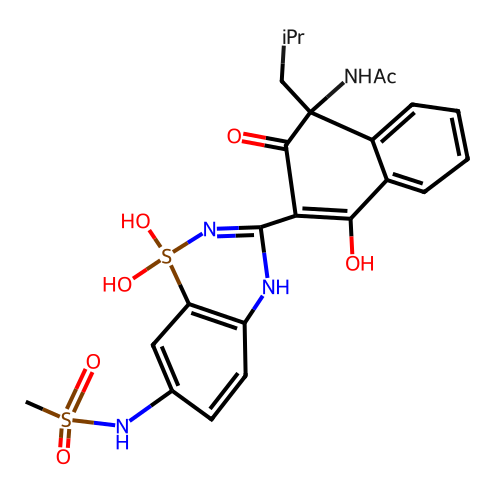 CC(=O)NC1(CC(C)C)C(=O)C(C2=NS(O)(O)c3cc(NS(C)(=O)=O)ccc3N2)=C(O)c2ccccc21